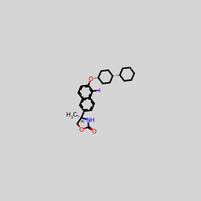 C[C@@]1(c2ccc3c(I)c(O[C@H]4CC[C@@H](C5CCCCC5)CC4)ccc3c2)COC(=O)N1